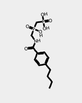 CCCCc1ccc(C(=O)NCP(=O)(O)CP(=O)(O)O)cc1